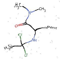 CCCCCC(NC([SiH3])(Cl)Cl)C(=O)N(C)C